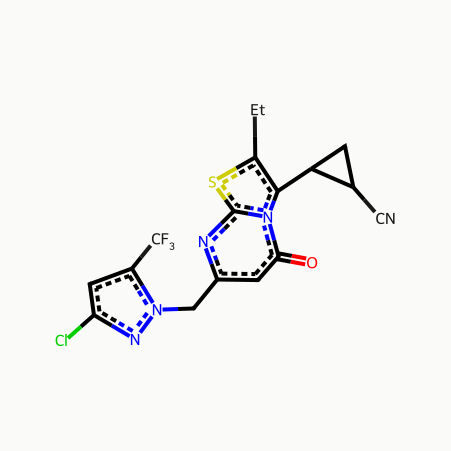 CCc1sc2nc(Cn3nc(Cl)cc3C(F)(F)F)cc(=O)n2c1C1CC1C#N